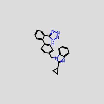 c1ccc(-c2nnn[nH]2)c(-c2ccc(Cn3c(C4CC4)nc4ccccc43)cc2)c1